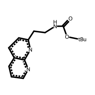 CC(C)(C)OC(=O)NCCc1ccc2cccnc2n1